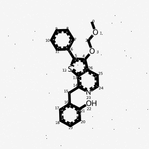 COCOc1c(-c2ccccc2)sc2c(Cc3ccccc3O)nccc12